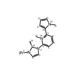 CC(C)N1C=CN(c2cccc(-c3cccn3C)[n+]2C)[C@@H]1C